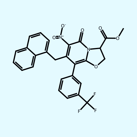 COC(=O)C1COc2c(-c3cccc(C(F)(F)F)c3)c(Cc3cccc4ccccc34)c([N+](=O)[O-])c(=O)n21